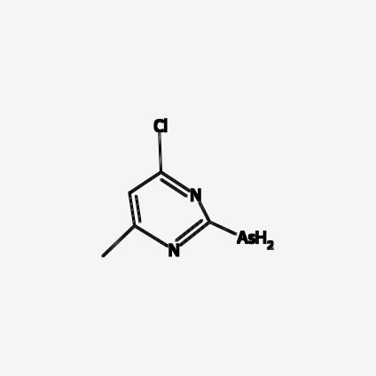 Cc1cc(Cl)nc([AsH2])n1